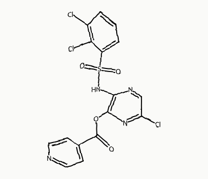 O=C(Oc1nc(Cl)cnc1NS(=O)(=O)c1cccc(Cl)c1Cl)c1ccncc1